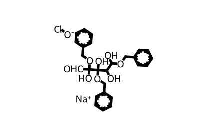 O=CC(O)(OCc1ccccc1)C(O)(OCc1ccccc1)C(O)C(O)OCc1ccccc1.[Na+].[O-]Cl